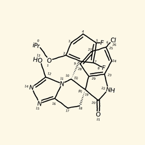 CC(C)Oc1ccc(F)c(F)c1[C@H]1n2c(O)nnc2CC[C@]12C(=O)Nc1cc(Cl)ccc12